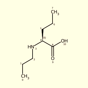 CCCN[C@@H](CCC)C(=O)O